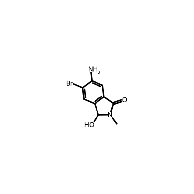 CN1C(=O)c2cc(N)c(Br)cc2C1O